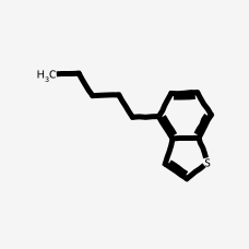 CCCCCc1cccc2sccc12